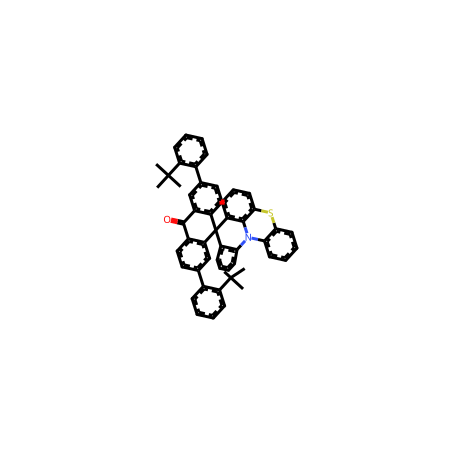 CC(C)(C)c1ccccc1-c1ccc2c(c1)C(=O)c1ccc(-c3ccccc3C(C)(C)C)cc1C21c2ccccc2N2c3ccccc3Sc3cccc1c32